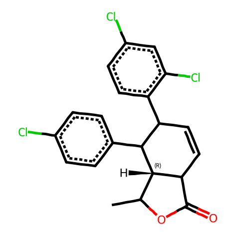 CC1OC(=O)C2C=CC(c3ccc(Cl)cc3Cl)C(c3ccc(Cl)cc3)[C@@H]12